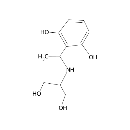 CC(NC(CO)CO)c1c(O)cccc1O